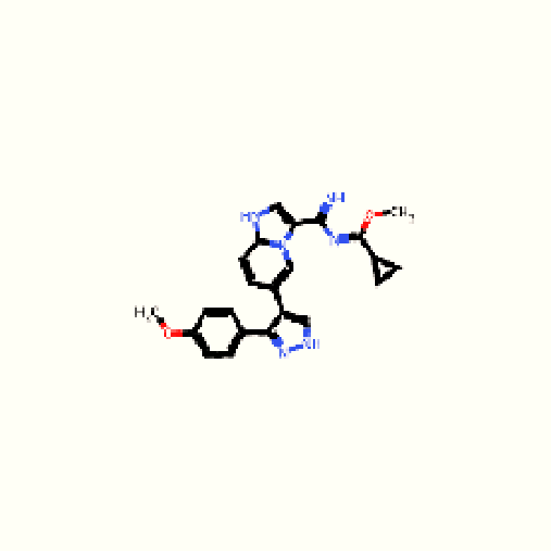 CO/C(=N\C(=N)C1=CNC2C=CC(c3c[nH]nc3-c3ccc(OC)cc3)=CN12)C1CC1